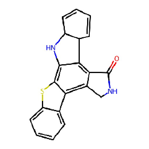 O=C1NCc2c1c1c(c3sc4ccccc4c23)NC2C=CC=CC12